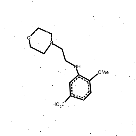 COc1ccc(C(=O)O)cc1NCCN1CCOCC1